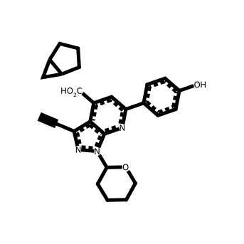 C#Cc1nn(C2CCCCO2)c2nc(-c3ccc(O)cc3)cc(C(=O)O)c12.C1CC2CC2C1